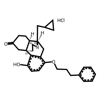 Cl.O=C1CC[C@H]2[C@H]3Cc4c(OCCCc5ccccc5)ccc(O)c4[C@@]2(CCN3CC2CC2)C1